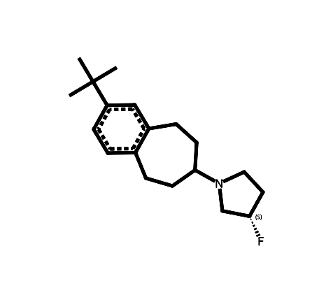 CC(C)(C)c1ccc2c(c1)CCC(N1CC[C@H](F)C1)CC2